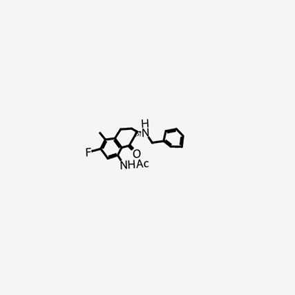 CC(=O)Nc1cc(F)c(C)c2c1C(=O)[C@@H](NCc1ccccc1)CC2